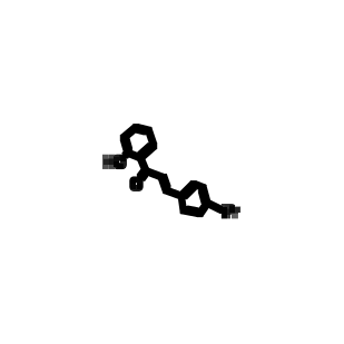 CC(C)c1ccc(C=CC(=O)c2ccccc2O)cc1